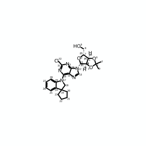 CC1(C)O[C@@H]2[C@H](O1)[C@@H](CO)O[C@H]2n1cnc2c(N3CC4(CCCC4)c4ccccc43)nc(Cl)nc21